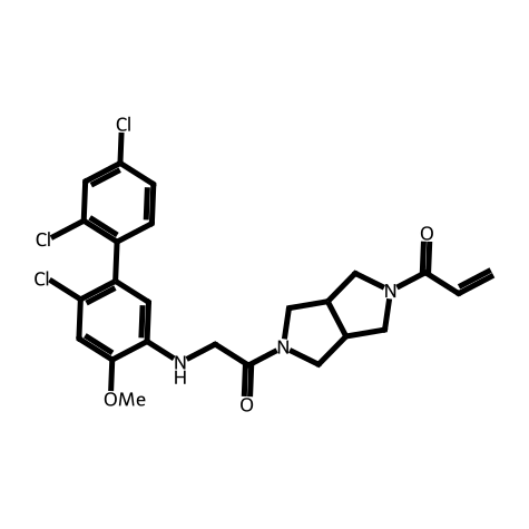 C=CC(=O)N1CC2CN(C(=O)CNc3cc(-c4ccc(Cl)cc4Cl)c(Cl)cc3OC)CC2C1